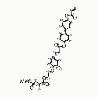 C=CC(=O)Oc1ccc(-c2ccc(OC(=O)/C=C/c3ccc(OCCOC(=O)C(C)CC(=O)OC)c(C)c3)cc2)cc1